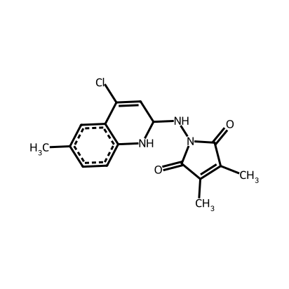 CC1=C(C)C(=O)N(NC2C=C(Cl)c3cc(C)ccc3N2)C1=O